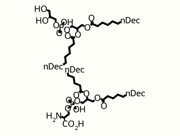 CCCCCCCCCCCCCCC(=O)OCC(COP(=O)(O)OC[C@H](N)C(=O)O)OC(=O)CCCCCCCCCCCCCC.CCCCCCCCCCCCCCCC(=O)OCC(COP(=O)(O)OC[C@@H](O)CO)OC(=O)CCCCCCCCCCCCCCC